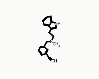 C#Cc1cccc(CN(C)CCc2c[nH]c3ccccc23)c1